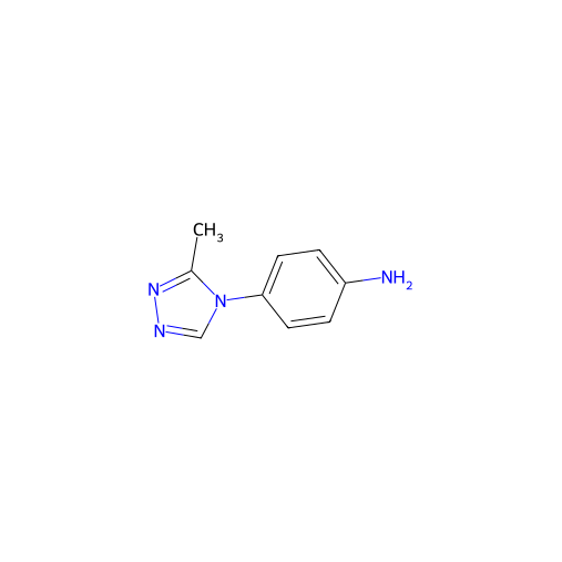 Cc1nncn1-c1ccc(N)cc1